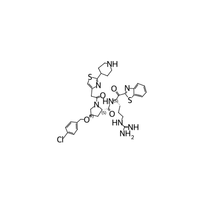 N=C(N)NCCC[C@H](NC(=O)[C@@H]1C[C@@H](OCc2ccc(Cl)cc2)CN1C(=O)Cc1csc(C2CCNCC2)n1)C(=O)c1nc2ccccc2s1